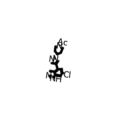 CC(=O)N1CCC(n2cc(-c3cc(Cl)cc4[nH]ncc34)cn2)CC1